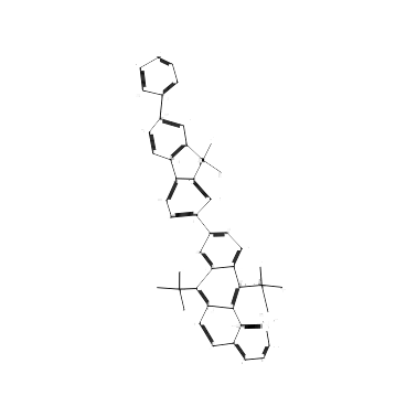 CC(C)(C)c1c2cc(-c3ccc4c(c3)C(C)(C)c3cc(-c5ccccc5)ccc3-4)ccc2c(C(C)(C)C)c2c1ccc1cccnc12